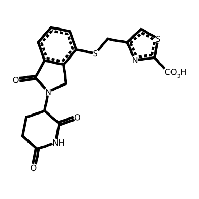 O=C1CCC(N2Cc3c(SCc4csc(C(=O)O)n4)cccc3C2=O)C(=O)N1